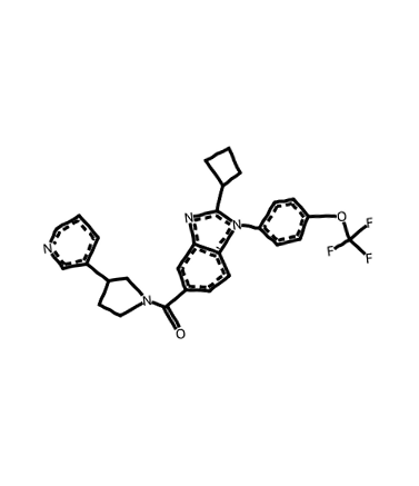 O=C(c1ccc2c(c1)nc(C1CCC1)n2-c1ccc(OC(F)(F)F)cc1)N1CCC(c2cccnc2)C1